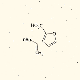 C=CCCCC.O=C(O)c1ccco1